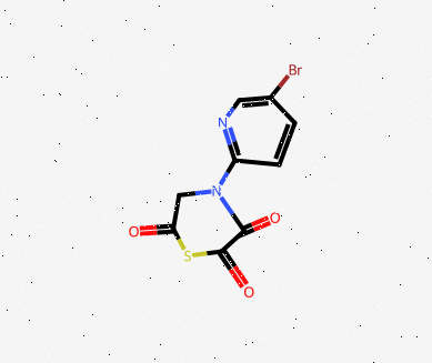 O=C1CN(c2ccc(Br)cn2)C(=O)C(=O)S1